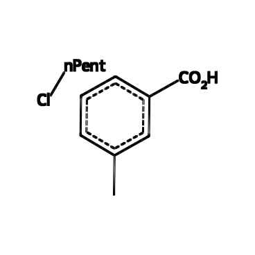 CCCCCCl.Cc1cccc(C(=O)O)c1